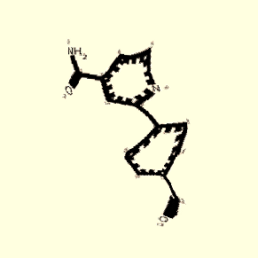 NC(=O)c1ccnc(-c2ccc(C=O)cc2)c1